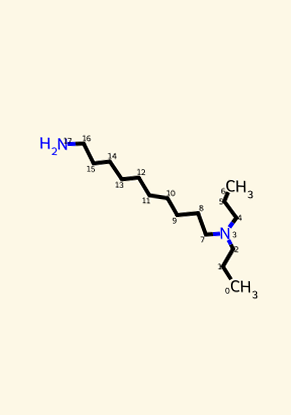 CCCN(CCC)CCCCCCCCCCN